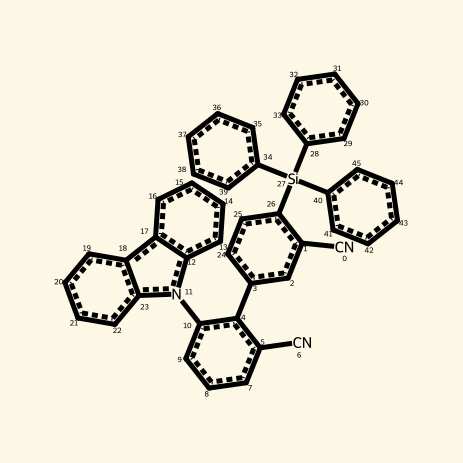 N#Cc1cc(-c2c(C#N)cccc2-n2c3ccccc3c3ccccc32)ccc1[Si](c1ccccc1)(c1ccccc1)c1ccccc1